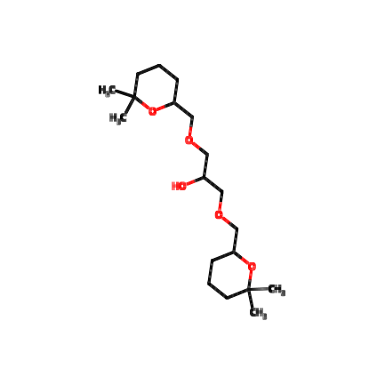 CC1(C)CCCC(COCC(O)COCC2CCCC(C)(C)O2)O1